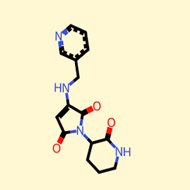 O=C1NCCCC1N1C(=O)C=C(NCc2cccnc2)C1=O